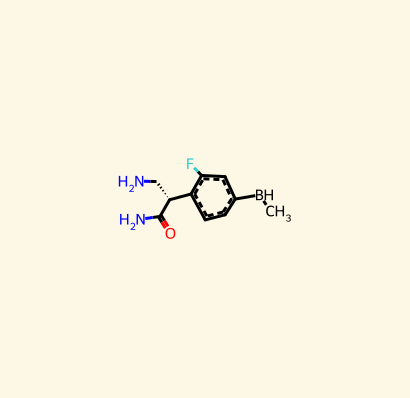 CBc1ccc([C@@H](CN)C(N)=O)c(F)c1